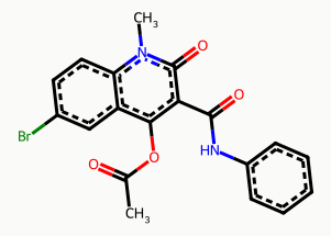 CC(=O)Oc1c(C(=O)Nc2ccccc2)c(=O)n(C)c2ccc(Br)cc12